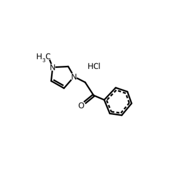 CN1C=CN(CC(=O)c2ccccc2)C1.Cl